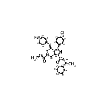 COC(=O)N1CC(=Cc2ccc(F)cc2)c2c(c(C(=O)N[C@H](C)c3ccccc3)nn2-c2ccc(Cl)cc2)C1